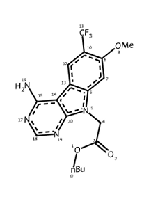 CCCCOC(=O)Cn1c2cc(OC)c(C(F)(F)F)cc2c2c(N)ncnc21